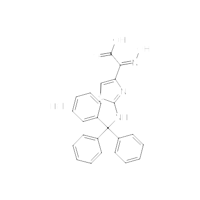 Cl.O=C(O)C(=NO)c1csc(NC(c2ccccc2)(c2ccccc2)c2ccccc2)n1